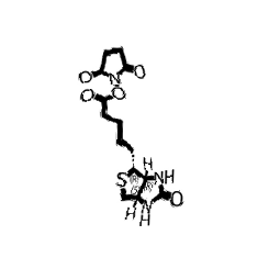 O=C1N[C@@H]2[C@@H](CS[C@@H]2CCCCC(=O)ON2C(=O)CCC2=O)N1